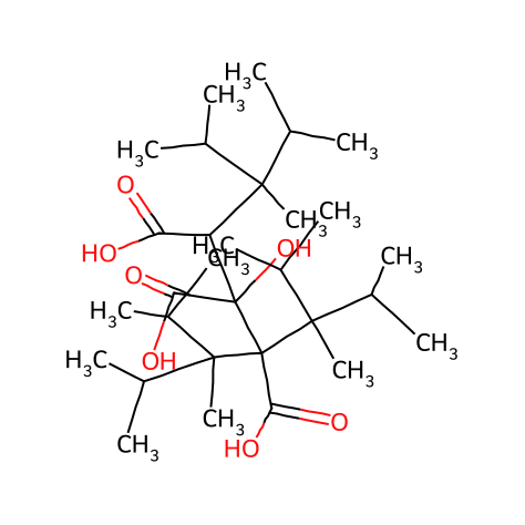 CC(C)C(C)(C(C)C)C(C(=O)O)C(O)(C(=O)O)C(C(=O)O)(C(C)(C(C)C)C(C)C)C(C)(C(C)C)C(C)C